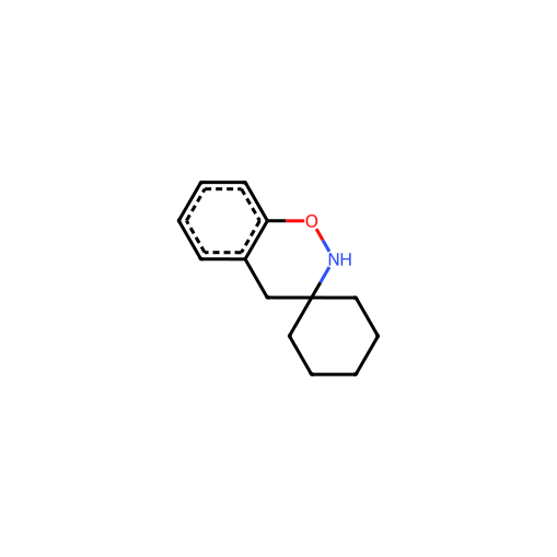 c1ccc2c(c1)CC1(CCCCC1)NO2